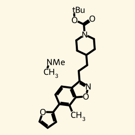 CNC.Cc1c(-c2ccco2)ccc2c(CCC3CCN(C(=O)OC(C)(C)C)CC3)noc12